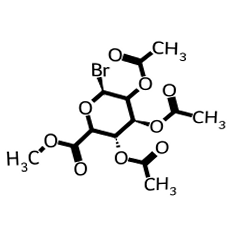 COC(=O)C1O[C@@H](Br)C(OC(C)=O)[C@@H](OC(C)=O)[C@@H]1OC(C)=O